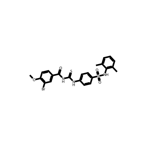 COc1ccc(C(=O)NC(=S)Nc2ccc(S(=O)(=O)Nc3c(C)cccc3C)cc2)cc1Br